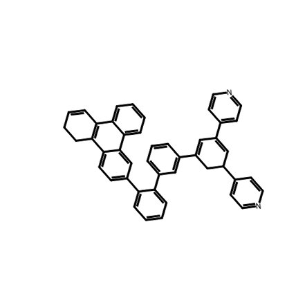 C1=Cc2c(c3ccc(-c4ccccc4-c4cccc(C5=CC(c6ccncc6)=CC(c6ccncc6)C5)c4)cc3c3ccccc23)CC1